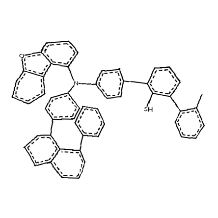 Cc1ccccc1-c1cccc(-c2ccc(N(c3ccc(-c4cccc5cccc(-c6ccccc6)c45)cc3)c3cccc4oc5ccccc5c34)cc2)c1S